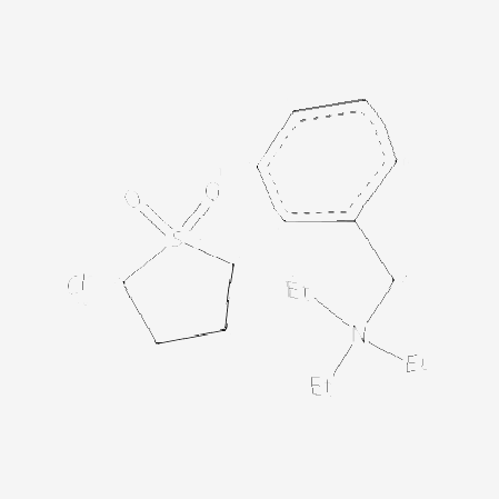 CC[N+](CC)(CC)Cc1ccccc1.O=S1(=O)CCCC1.[Cl-]